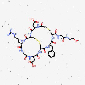 COCCNC(=O)CNC(=O)C1CSCC(=O)NC(CC(=O)O)C(=O)NC2CSSCC(NC(=O)C(CC(=O)O)NC(=O)CNC(=O)C(CCCNC(=N)N)NC2=O)C(=O)NC(Cc2ccccc2)C(=O)N1